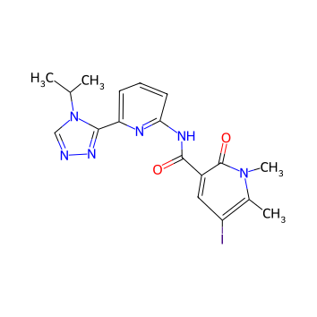 Cc1c(I)cc(C(=O)Nc2cccc(-c3nncn3C(C)C)n2)c(=O)n1C